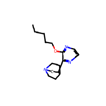 CCCCCOc1nccnc1C1CN2CCC1CC2